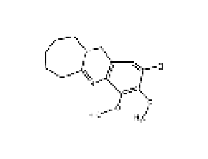 COc1c(Cl)cc2c(c1OC)N=C1CCCCCN1C2